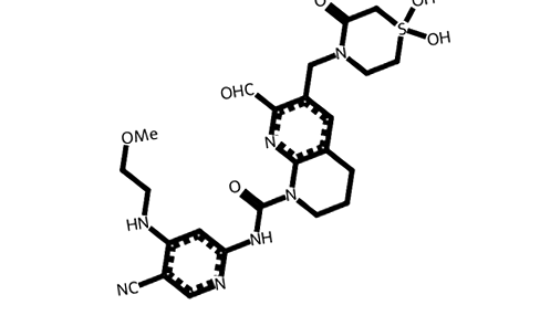 COCCNc1cc(NC(=O)N2CCCc3cc(CN4CCS(O)(O)CC4=O)c(C=O)nc32)ncc1C#N